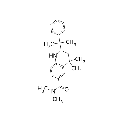 CN(C)C(=O)c1ccc2c(c1)C(C)(C)CC(C(C)(C)c1ccccc1)N2